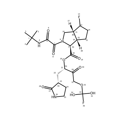 CC(C)(C)NC(=O)C(=O)N1C[C@@H]2C(F)CC[C@@H]2[C@H]1C(=O)O[C@@H](C[C@@H]1CCNC1=O)C(=O)COC(O)(O)F